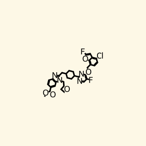 COC(=O)c1ccc2nc(CC3CCC(c4ncc(F)c(OCc5ccc(Cl)c6cc(F)oc56)n4)CC3)n(CC3CCO3)c2c1